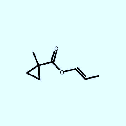 CC=COC(=O)C1(C)CC1